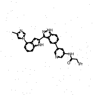 Cc1cn(-c2cccc3[nH]c(-c4n[nH]c5ccc(-c6cncc(NC(=O)CC(C)C)c6)cc45)cc23)cn1